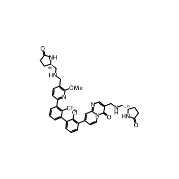 COc1nc(-c2cccc(-c3cccc(-c4ccn5c(=O)c(CNC[C@@H]6CCC(=O)N6)cnc5c4)c3Cl)c2C(F)(F)F)ccc1CNC[C@H]1CCC(=O)N1